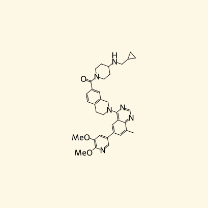 COc1cc(-c2cc(C)c3ncnc(N4CCc5ccc(C(=O)N6CCC(NCC7CC7)CC6)cc5C4)c3c2)cnc1OC